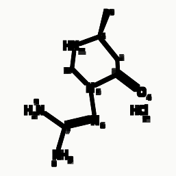 C[C@H]1CC(=O)N(N=C(N)N)CN1.Cl